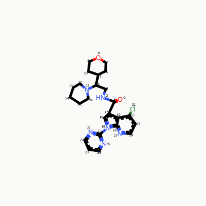 O=C(NCC(C1CCOCC1)N1CCCCC1)c1cn(-c2ncccn2)c2nccc(Cl)c12